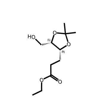 CCOC(=O)CC[C@H]1OC(C)(C)O[C@H]1CO